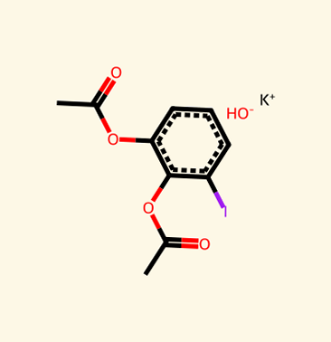 CC(=O)Oc1cccc(I)c1OC(C)=O.[K+].[OH-]